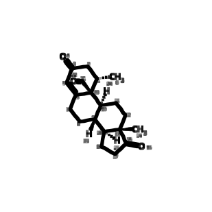 C[C@H]1CC(=O)C=C2CC[C@@H]3[C@H](CC[C@]4(C)C(=O)CC[C@@H]34)[C@]21C=O